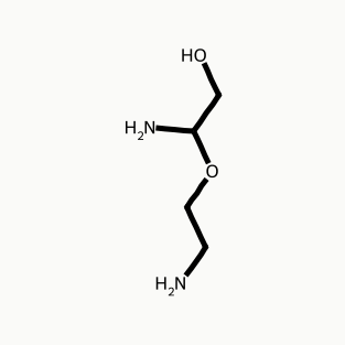 NCCOC(N)CO